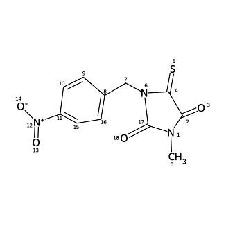 CN1C(=O)C(=S)N(Cc2ccc([N+](=O)[O-])cc2)C1=O